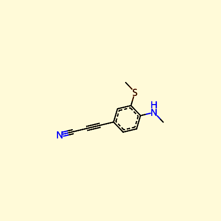 CNc1ccc(C#CC#N)cc1SC